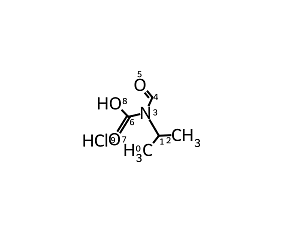 CC(C)N(C=O)C(=O)O.Cl